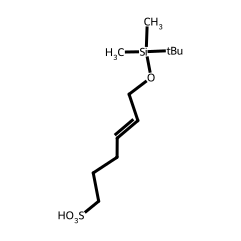 CC(C)(C)[Si](C)(C)OCC=CCCCS(=O)(=O)O